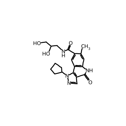 Cc1cc2[nH]c(=O)c3cnn(C4CCCC4)c3c2cc1C(=O)NCC(O)CO